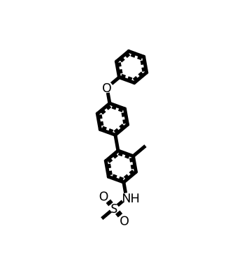 Cc1cc(NS(C)(=O)=O)ccc1-c1ccc(Oc2ccccc2)cc1